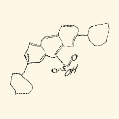 O=S(=O)(O)c1c2cc(C3CCCCC3)ccc2cc2ccc(C3CCCCC3)cc12